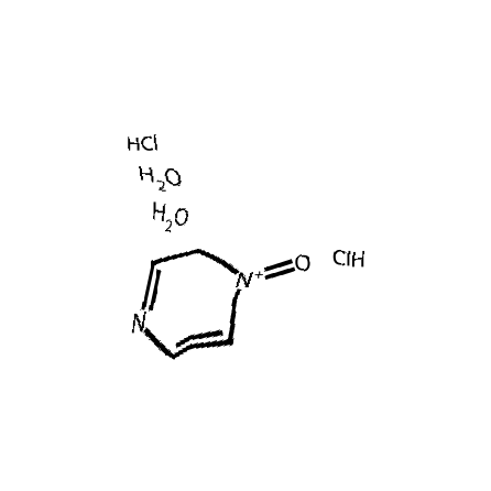 Cl.Cl.O.O.O=[N+]1C=CN=CC1